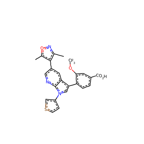 Cc1noc(C)c1-c1cnc2c(c1)c(-c1ccc(C(=O)O)cc1OC(F)(F)F)cn2-c1ccsc1